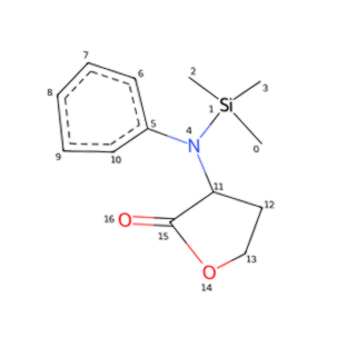 C[Si](C)(C)N(c1ccccc1)C1CCOC1=O